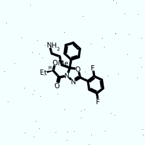 CC[C@@H](OC)C(=O)N1N=C(c2cc(F)ccc2F)OC1(CCCN)c1ccccc1